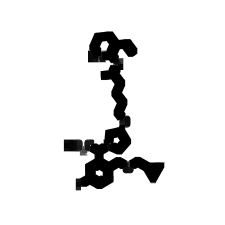 C=CC1=C(/N=C(\C)CCCCO[C@@H]2CCN(C(C(=O)O)c3cc(F)ccc3COCC3CC3)C2)NCCC1